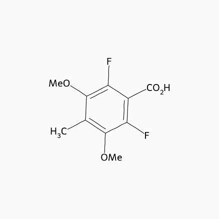 COc1c(C)c(OC)c(F)c(C(=O)O)c1F